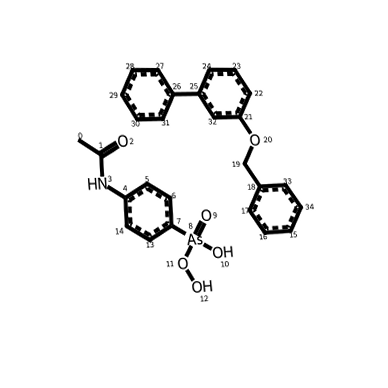 CC(=O)Nc1ccc([As](=O)(O)OO)cc1.c1ccc(COc2cccc(-c3ccccc3)c2)cc1